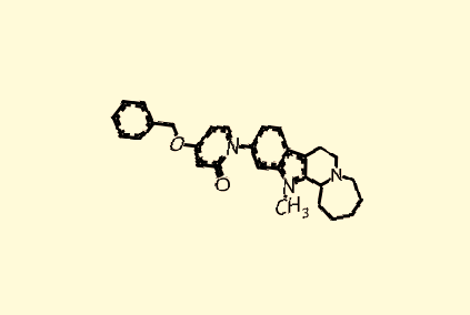 Cn1c2c(c3ccc(-n4ccc(OCc5ccccc5)cc4=O)cc31)CCN1CCCCCC21